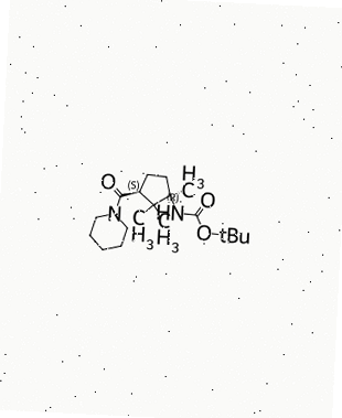 CC(C)(C)OC(=O)N[C@]1(C)CC[C@H](C(=O)N2CCCCC2)C1(C)C